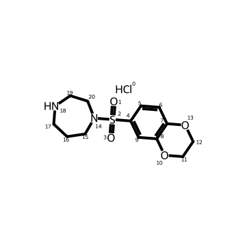 Cl.O=S(=O)(c1ccc2c(c1)OCCO2)N1CCCNCC1